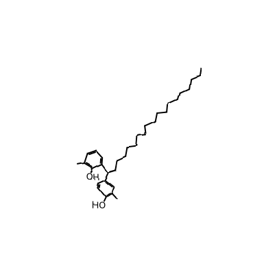 CCCCCCCCCCCCCCCCCCC(c1ccc(O)c(C)c1)c1cccc(C)c1O